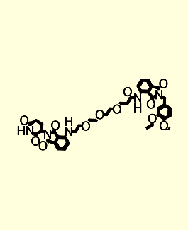 CCOc1cc(CN2C(=O)c3cccc(NC(=O)CCOCCOCCOCCNc4cccc5c4C(=O)N(C4CCC(=O)NC4=O)C5=O)c3C2=O)ccc1OC